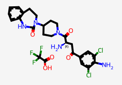 Nc1c(Cl)cc(C(=O)C[C@@H](N)C(=O)N2CCC(N3CCc4ccccc4NC3=O)CC2)cc1Cl.O=C(O)C(F)(F)F